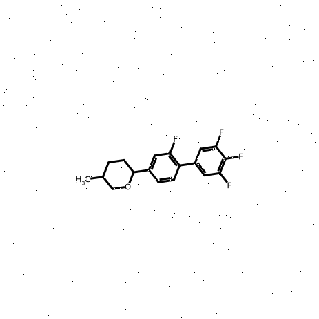 CC1CCC(c2ccc(-c3cc(F)c(F)c(F)c3)c(F)c2)OC1